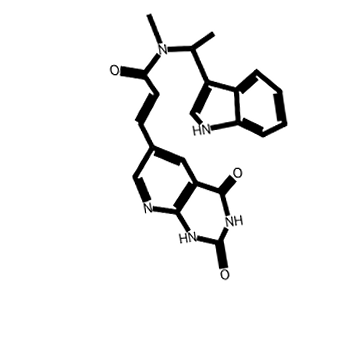 CC(c1c[nH]c2ccccc12)N(C)C(=O)C=Cc1cnc2[nH]c(=O)[nH]c(=O)c2c1